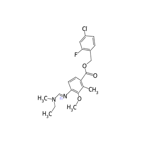 CCN(C)/C=N/c1ccc(C(=O)OCc2ccc(Cl)cc2F)c(C)c1OC